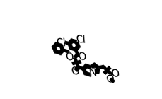 COC(=O)C(C)(C)Cc1cc2cc(C(=O)C(C)(C)C(OCc3ccccc3)C(=O)c3cc(Cl)cc(Cl)c3)ccn2c1